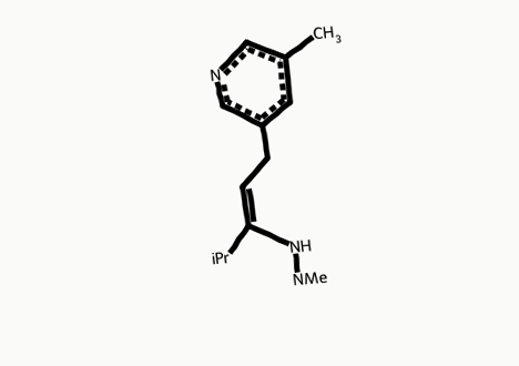 CNN/C(=C\Cc1cncc(C)c1)C(C)C